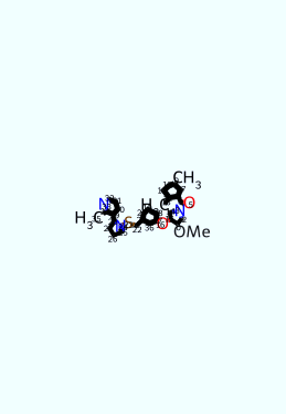 COC1CN(C(=O)c2cc(C)ccc2C)CC1Oc1cccc(CSN2CCCC2c2cccnc2C)c1